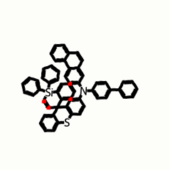 c1ccc(-c2ccc(N(c3ccc4c(c3)C3(c5ccccc5S4)c4ccccc4[Si](c4ccccc4)(c4ccccc4)c4ccccc43)c3ccc4c(ccc5ccccc54)c3)cc2)cc1